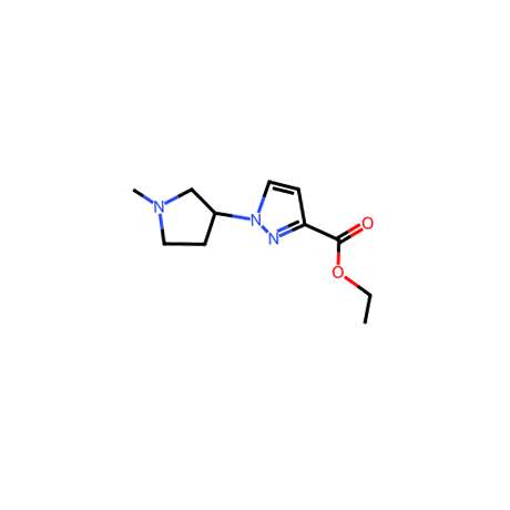 CCOC(=O)c1ccn(C2CCN(C)C2)n1